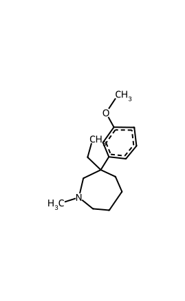 CCC1(c2cccc(OC)c2)CCCCN(C)C1